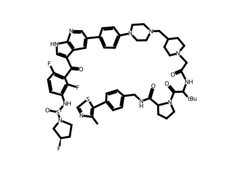 Cc1ncsc1-c1ccc(CNC(=O)C2CCCN2C(=O)C(NC(=O)CN2CCC(CN3CCN(c4ccc(-c5cnc6[nH]cc(C(=O)c7c(F)ccc(N[S+]([O-])N8CC[C@@H](F)C8)c7F)c6c5)cc4)CC3)CC2)C(C)(C)C)cc1